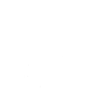 COC1C(CO)C(OCc2cccc3ccccc23)CCC1(C)C